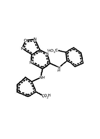 O=C(O)c1ccccc1Nc1nc2nonc2nc1Nc1ccccc1C(=O)O